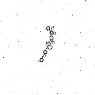 O=C(N[C@@H]1CCCCN(Cc2ccc(OCc3ccccc3)cc2)C1=O)N1CCC(n2cc(-c3ccccc3)[nH]c2=O)CC1